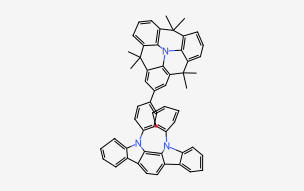 CC1(C)c2cccc3c2N2c4c1cccc4C(C)(C)c1cc(-c4ccc(-n5c6ccccc6c6ccc7c8ccccc8n(-c8ccccc8)c7c65)cc4)cc(c12)C3(C)C